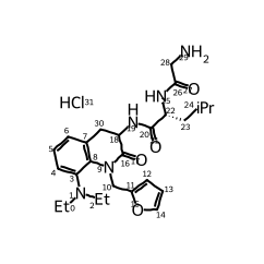 CCN(CC)c1cccc2c1N(Cc1ccco1)C(=O)C(NC(=O)[C@@H](CC(C)C)NC(=O)CN)C2.Cl